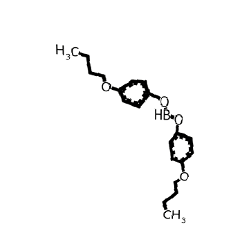 CCCCOc1ccc(OBOc2ccc(OCCCC)cc2)cc1